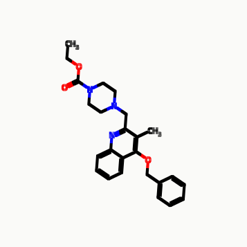 CCOC(=O)N1CCN(Cc2nc3ccccc3c(OCc3ccccc3)c2C)CC1